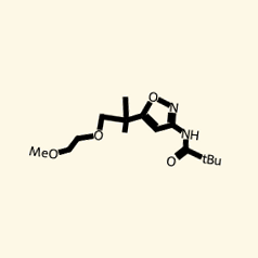 COCCOCC(C)(C)c1cc(NC(=O)C(C)(C)C)no1